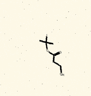 CC(C)(I)OC(=O)CCO